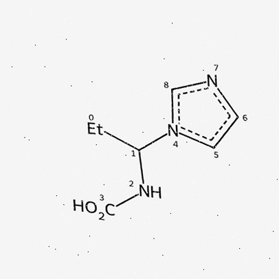 CCC(NC(=O)O)n1ccnc1